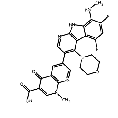 CNc1c(F)cc(F)c2c1[nH]c1ncc(-c3cnc4c(c3)c(=O)c(C(=O)O)cn4C)c(N3CCOCC3)c12